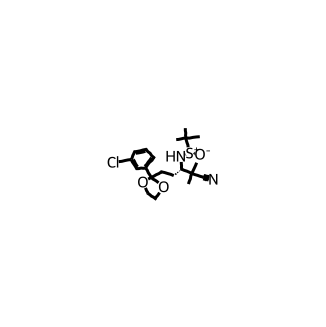 CC(C)(C#N)[C@H](CCC1(c2cccc(Cl)c2)OCCO1)N[S@+]([O-])C(C)(C)C